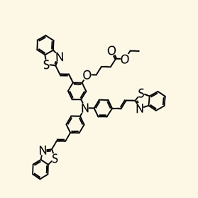 CCOC(=O)CCCOc1cc(N(c2ccc(/C=C/c3nc4ccccc4s3)cc2)c2ccc(/C=C/c3nc4ccccc4s3)cc2)ccc1/C=C/c1nc2ccccc2s1